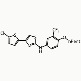 CCCCCOc1ccc(Nc2nc(-c3ccc(Cl)s3)cs2)cc1C(F)(F)F